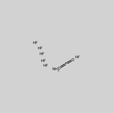 F.F.F.F.F.F.N.O=[P]=O